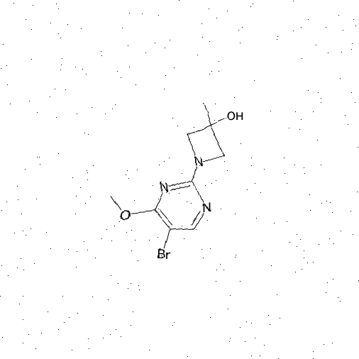 COc1nc(N2CC(C)(O)C2)ncc1Br